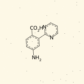 Nc1ccc(C(=O)O)c(-c2ncccn2)c1